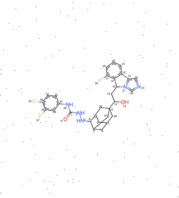 O=C(NNC1C2CC3CC1CC(C(O)CC1c4c(F)cccc4-c4cncn41)(C3)C2)Nc1ccc(F)c(F)c1